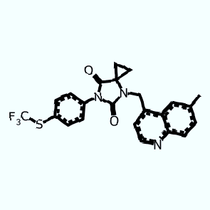 Cc1ccc2nccc(CN3C(=O)N(c4ccc(SC(F)(F)F)cc4)C(=O)C34CC4)c2c1